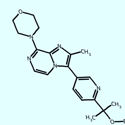 CCOC(C)(C)c1ccc(-c2c(C)nc3c(N4CCOCC4)nccn23)cn1